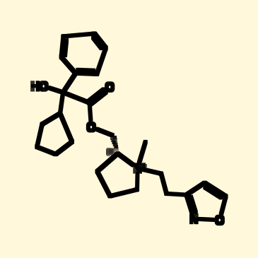 C[N+]1(CCc2ccon2)CCC[C@@H]1COC(=O)C(O)(c1ccccc1)C1CCCC1